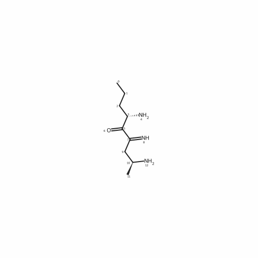 CCC[C@H](N)C(=O)C(=N)C[C@H](C)N